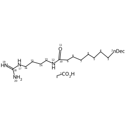 CC(=O)O.CCCCCCCCCCCCCCCCCC(=O)NCCCCNC(=N)N